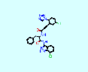 O=C(C#Cc1cc(Cl)ccc1-n1cnnn1)NC(Cc1ccccc1)C(=O)Nc1n[nH]c2c(Cl)cccc12